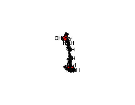 Cc1nnc(C(C)C)n1C1CC2CCC(C1)N2CC[C@H](NC=O)c1ccc(NC(=O)COCC(=O)NCCCCCCCNC(=O)COCC(=O)N[C@@H]2CC[C@@]3(O)[C@H]4Cc5ccc(O)c6c5[C@@]3(CCN4CC3CC3)[C@H]2O6)cc1